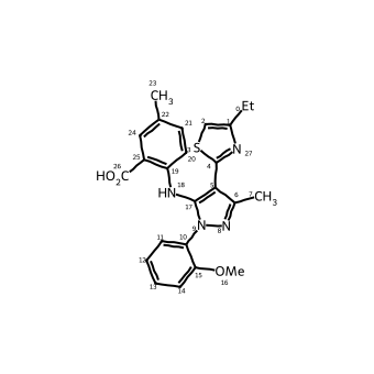 CCc1csc(-c2c(C)nn(-c3ccccc3OC)c2Nc2ccc(C)cc2C(=O)O)n1